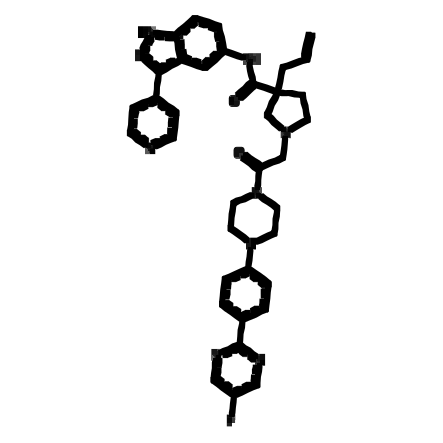 C=CCC1(C(=O)Nc2ccc3[nH]nc(-c4ccncc4)c3c2)CCN(CC(=O)N2CCN(c3ccc(-c4ncc(F)cn4)cc3)CC2)C1